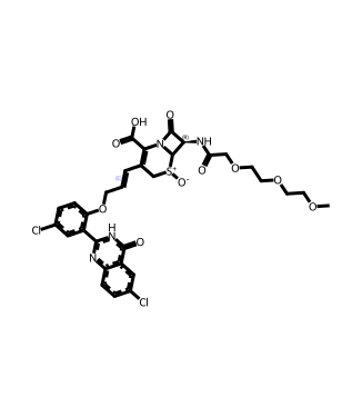 COCCOCCOCC(=O)N[C@@H]1C(=O)N2C(C(=O)O)=C(/C=C/COc3ccc(Cl)cc3-c3nc4ccc(Cl)cc4c(=O)[nH]3)C[S+]([O-])C12